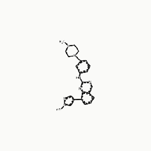 CCCn1cc(-c2cccc3cnc(Nc4cccc(N5CCN(C)CC5)c4)nc23)cn1